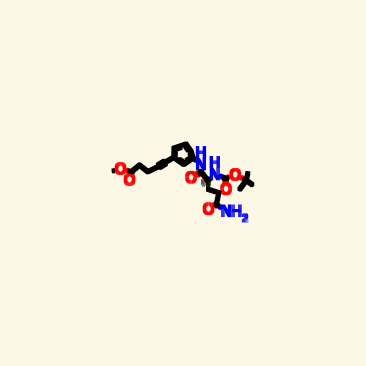 COC(=O)CCC#Cc1cccc(NC(=O)[C@H](CCC(N)=O)NC(=O)OC(C)(C)C)c1